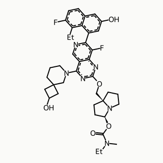 CCc1c(F)ccc2cc(O)cc(-c3ncc4c(N5CCCC6(CC(O)C6)C5)nc(OC[C@@]56CCCN5[C@@H](OC(=O)N(C)CC)CC6)nc4c3F)c12